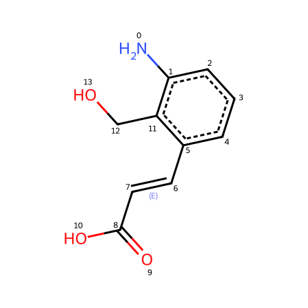 Nc1cccc(/C=C/C(=O)O)c1CO